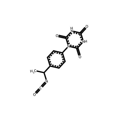 CC(N=C=O)c1ccc(-n2c(=O)[nH]c(=O)[nH]c2=O)cc1